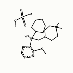 COS(=O)(=O)[O-].COc1ccccc1[Si](O)(CN1CC[N+](C)(C)CC1)C1CCCCC1